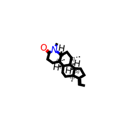 CC=C1CC[C@H]2[C@@H]3[C@@H](C)C[C@H]4N(C)C(=O)CC[C@]4(C)[C@H]3CC[C@]12C